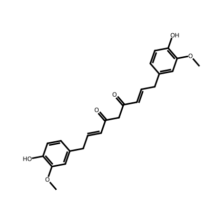 COc1cc(CC=CC(=O)CC(=O)C=CCc2ccc(O)c(OC)c2)ccc1O